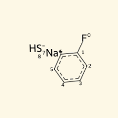 Fc1ccccc1.[Na+].[SH-]